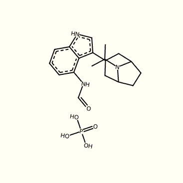 CC(C)N1C2CCC1CC(c1c[nH]c3cccc(NC=O)c13)C2.O=P(O)(O)O